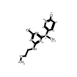 COCCNc1nc(Cl)nc(N(C)c2ccc(Cl)nc2)n1